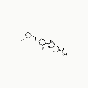 O=C(O)N1CCc2nc(-c3ccc(C=Cc4cccc(Cl)c4)cc3F)ncc2C1